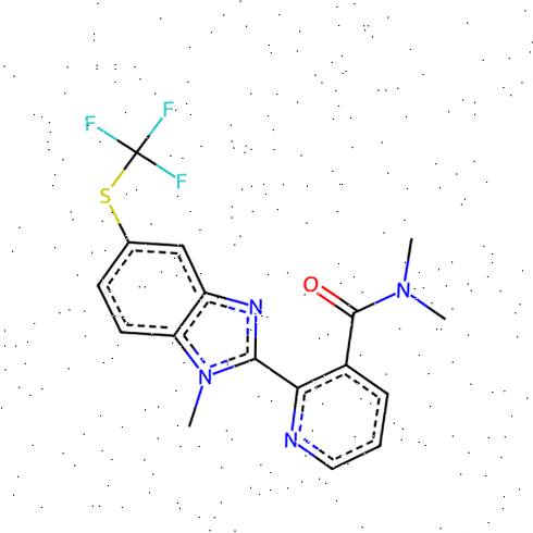 CN(C)C(=O)c1cccnc1-c1nc2cc(SC(F)(F)F)ccc2n1C